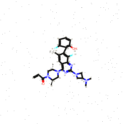 C=CC(=O)N1C[C@H](C)N(c2nc(N3CC(N(C)C)C3)nc3c(F)c(-c4c(O)cccc4F)c(C(F)(F)F)cc23)C[C@H]1C